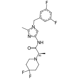 Cc1nc(NC(=O)[C@@H](C)N2CCC(F)(F)CC2)cn1Cc1cc(F)cc(F)c1